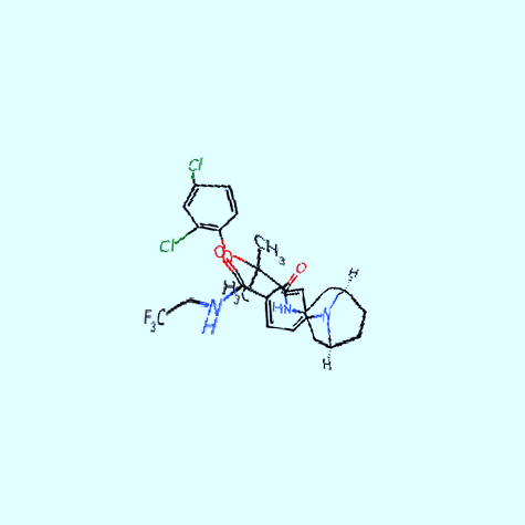 CC(C)(Oc1ccc(Cl)cc1Cl)C(=O)N[C@H]1C[C@H]2CC[C@@H](C1)N2c1ccc(C(=O)NCC(F)(F)F)cc1